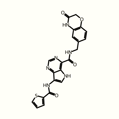 O=C1COc2ccc(CNC(=O)c3ncnc4c(NC(=O)c5cccs5)c[nH]c34)cc2N1